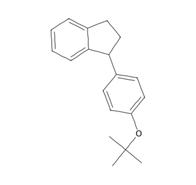 CC(C)(C)Oc1ccc(C2CCc3ccccc32)cc1